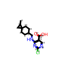 CC1CC12CCC(CNc1nc(Cl)ncc1C(=O)O)CC2